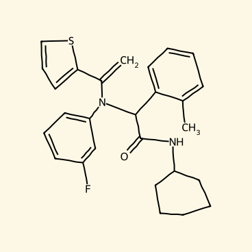 C=C(c1cccs1)N(c1cccc(F)c1)C(C(=O)NC1CCCCC1)c1ccccc1C